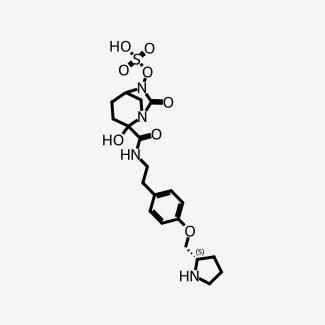 O=C1N(OS(=O)(=O)O)C2CCC(O)(C(=O)NCCc3ccc(OC[C@@H]4CCCN4)cc3)N1C2